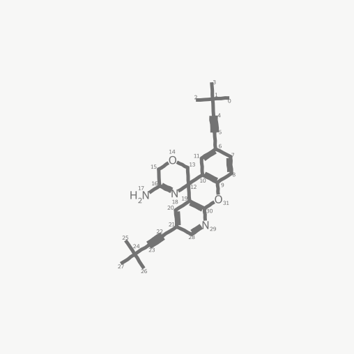 CC(C)(C)C#Cc1ccc2c(c1)C1(COCC(N)=N1)c1cc(C#CC(C)(C)C)cnc1O2